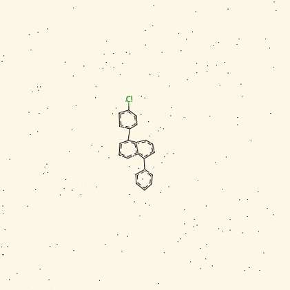 Clc1ccc(-c2cccc3c(-c4ccccc4)cccc23)cc1